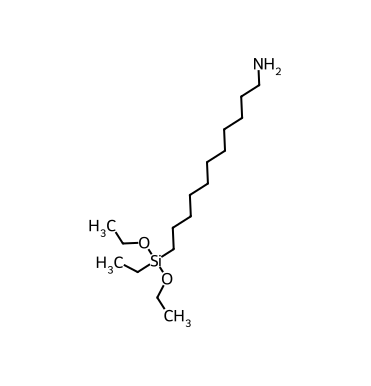 CCO[Si](CC)(CCCCCCCCCCCN)OCC